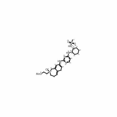 COCC[N+]1(Cl)CCC=C2CC=C(Nc3nccc(N[C@@H]4CCCC[C@H]4NS(C)(=O)=O)n3)C=C2C1